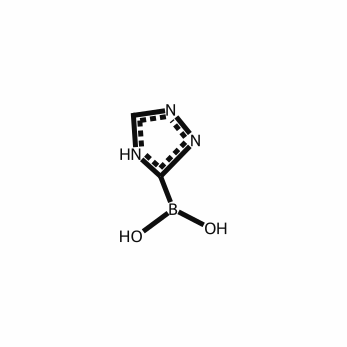 OB(O)c1nnc[nH]1